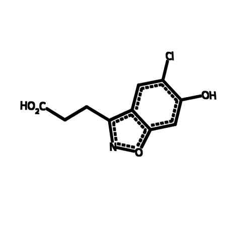 O=C(O)CCc1noc2cc(O)c(Cl)cc12